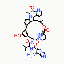 CCn1c(-c2cccnc2[C@H](C)OC)c2c3cc(ccc31)-c1cc(O)cc(c1)C[C@H](NC(=O)C(C(C)C)N(C)C(=O)[C@H]1Cn3cncc3[C@H]1N)C(=O)N1CCC[C@H](N1)C(=O)OCC(C)(C)C2